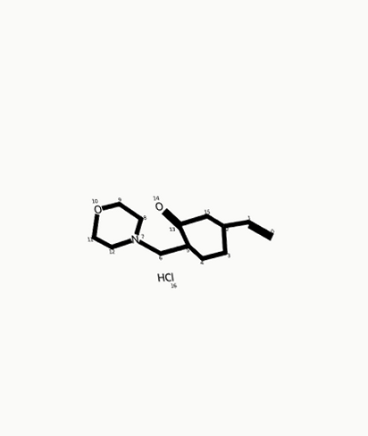 C=CC1CCC(CN2CCOCC2)C(=O)C1.Cl